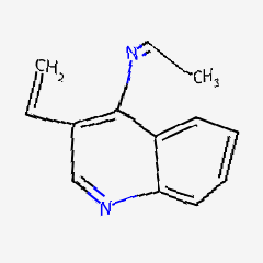 C=Cc1cnc2ccccc2c1/N=C\C